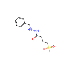 CS(=O)(=O)CCCC(=O)NNCc1ccccc1